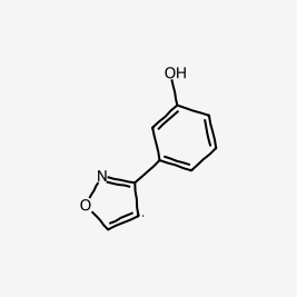 Oc1cccc(-c2[c]con2)c1